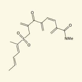 C=C(/C=C\C(=C)C(=O)C(=C)CS(=O)(=O)/C(C)=C/C=C/C)C(=O)NC